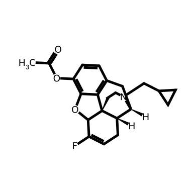 CC(=O)Oc1ccc2c3c1OC1C(F)=CC[C@H]4[C@@H](C2)N(CC2CC2)CC[C@]314